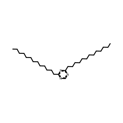 CCCCCCCCCCCCCc1n[c]nc(CCCCCCCCCCCCC)n1